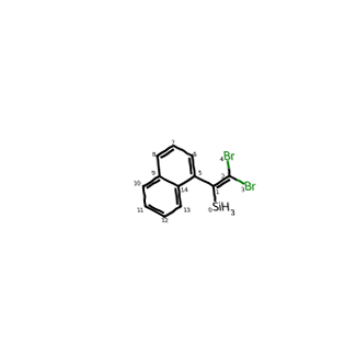 [SiH3]C(=C(Br)Br)c1cccc2ccccc12